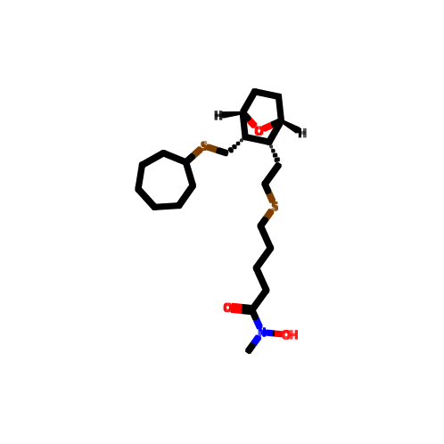 CN(O)C(=O)CCCCSCC[C@@H]1[C@H](CSC2CCCCCC2)[C@@H]2CC[C@H]1O2